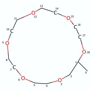 CC1COCCOCCOCCOCCOCCO1